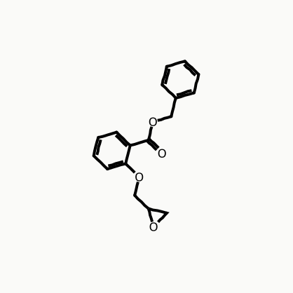 O=C(OCc1ccccc1)c1ccccc1OCC1CO1